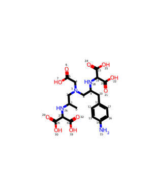 CC(CN(CC(=O)O)CC(Cc1ccc(N)cc1)NC(C(=O)O)C(=O)O)NC(C(=O)O)C(=O)O